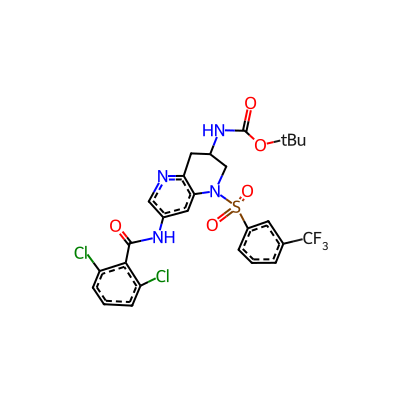 CC(C)(C)OC(=O)NC1Cc2ncc(NC(=O)c3c(Cl)cccc3Cl)cc2N(S(=O)(=O)c2cccc(C(F)(F)F)c2)C1